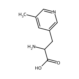 Cc1cncc(CC(N)C(=O)O)c1